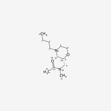 CCCCN1CCO[C@H](CN(C)C(C)=O)C1